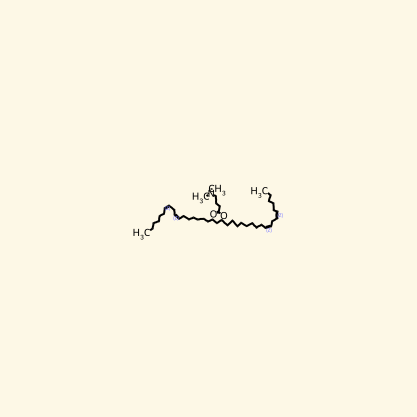 CCCCC/C=C\C/C=C\CCCCCCCCC(CCCCCCCC/C=C\C/C=C\CCCCCC)OC(=O)CCCN(C)C